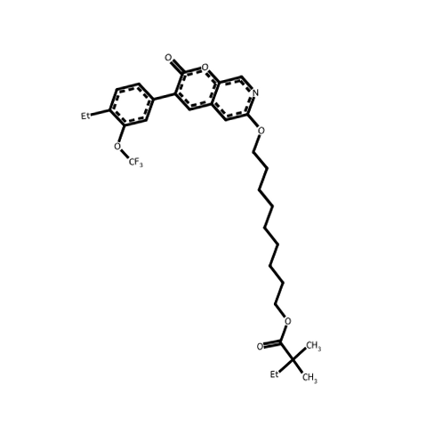 CCc1ccc(-c2cc3cc(OCCCCCCCCCOC(=O)C(C)(C)CC)ncc3oc2=O)cc1OC(F)(F)F